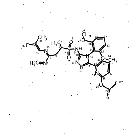 C=N/C(C[C@@H](C)S(=O)(=O)Nc1nnc(-c2cccc(OC(F)F)n2)n1-c1c(OC)cccc1OC)=N\C=C(/C)F